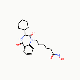 O=C(CCCCCN1C(=O)C(C2CCCCC2)NC(=O)c2ccccc21)NO